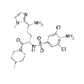 CC1CCN(C(=O)C(CCC(N)c2nccn2C)NS(=O)(=O)c2cc(Cl)c(N)c(Cl)c2)CC1